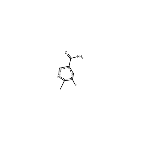 Cc1ncc(C(N)=O)cc1F